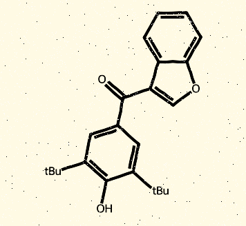 CC(C)(C)c1cc(C(=O)c2coc3ccccc23)cc(C(C)(C)C)c1O